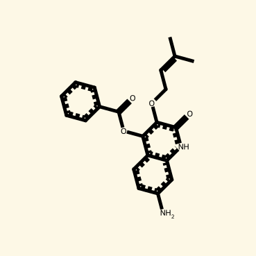 CC(C)=CCOc1c(OC(=O)c2ccccc2)c2ccc(N)cc2[nH]c1=O